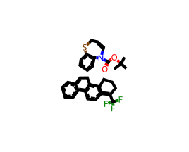 CC(C)(C)OC(=O)N1C=CCSc2ccccc21.FC(F)(F)C1=c2ccc3c(c2CCC1)CC=c1ccccc1=3